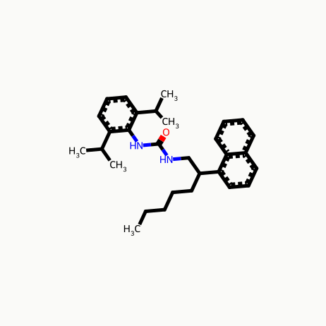 CCCCCC(CNC(=O)Nc1c(C(C)C)cccc1C(C)C)c1cccc2ccccc12